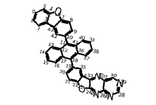 c1ccc2c(c1)oc1ccc(-c3c4ccccc4c(-c4ccc5oc6nc7ncncc7nc6c5c4)c4ccccc34)cc12